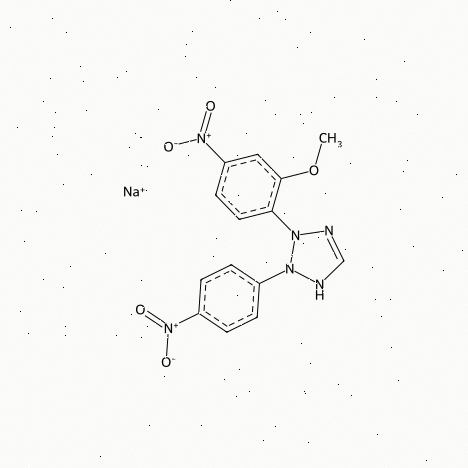 COc1cc([N+](=O)[O-])ccc1N1N=CNN1c1ccc([N+](=O)[O-])cc1.[Na+]